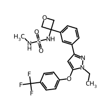 CCn1nc(-c2cccc(C3(NS(=O)(=O)NC)COC3)c2)cc1Oc1ccc(C(F)(F)F)cc1